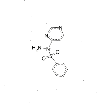 NN(c1ccncn1)S(=O)(=O)c1ccccc1